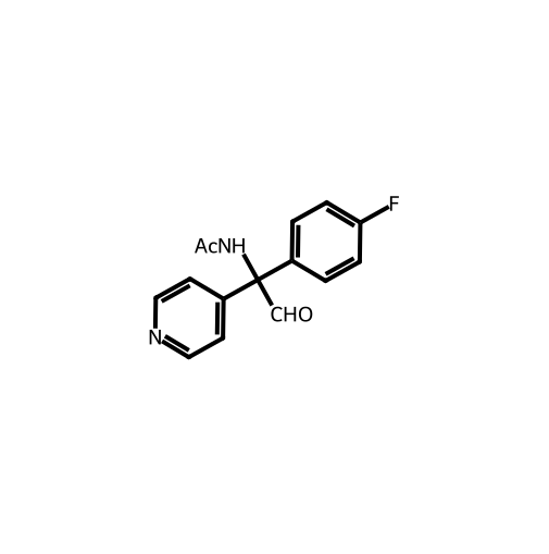 CC(=O)NC(C=O)(c1ccncc1)c1ccc(F)cc1